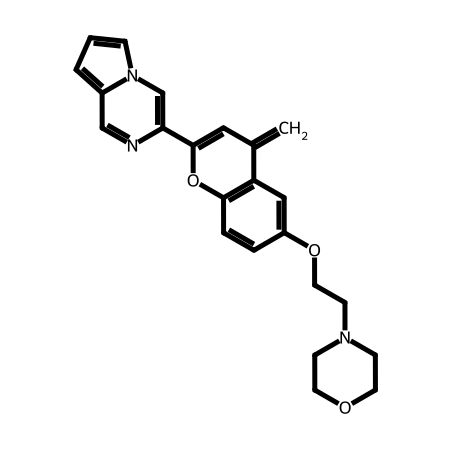 C=C1C=C(c2cn3cccc3cn2)Oc2ccc(OCCN3CCOCC3)cc21